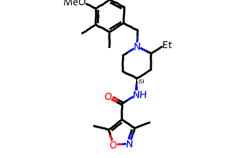 CCC1C[C@@H](NC(=O)c2c(C)noc2C)CCN1Cc1ccc(OC)c(C)c1C